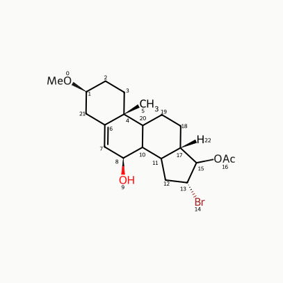 CO[C@H]1CC[C@@]2(C)C(=C[C@H](O)C3C4C[C@@H](Br)C(OC(C)=O)[C@H]4CCC32)C1